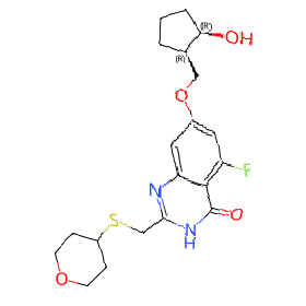 O=c1[nH]c(CSC2CCOCC2)nc2cc(OC[C@H]3CCC[C@H]3O)cc(F)c12